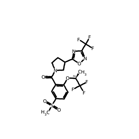 C[C@H](Oc1ccc(S(C)(=O)=O)cc1C(=O)N1CCC(c2nc(C(F)(F)F)no2)C1)C(F)(F)F